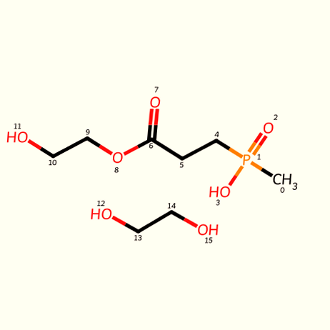 CP(=O)(O)CCC(=O)OCCO.OCCO